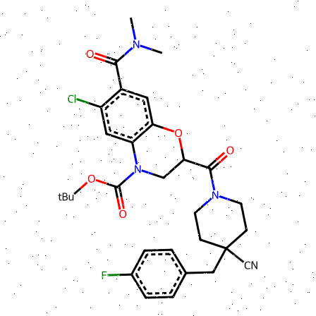 CN(C)C(=O)c1cc2c(cc1Cl)N(C(=O)OC(C)(C)C)CC(C(=O)N1CCC(C#N)(Cc3ccc(F)cc3)CC1)O2